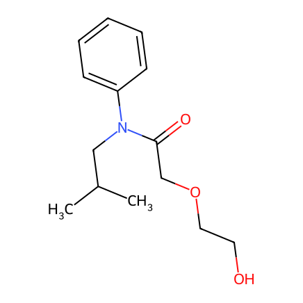 CC(C)CN(C(=O)COCCO)c1ccccc1